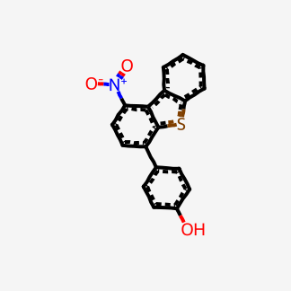 O=[N+]([O-])c1ccc(-c2ccc(O)cc2)c2sc3ccccc3c12